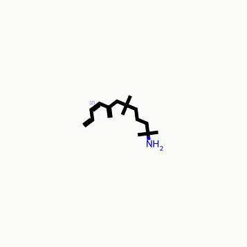 C=C/C=C\C(=C)CC(C)(C)CCCC(C)(C)N